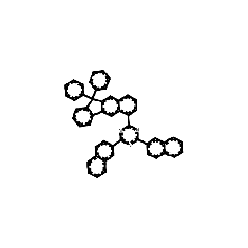 c1ccc(C2(c3ccccc3)c3ccccc3-c3cc4c(-c5nc(-c6ccc7ccccc7c6)nc(-c6ccc7ccccc7c6)n5)cccc4cc32)cc1